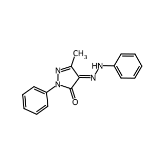 CC1=NN(c2ccccc2)C(=O)/C1=N/Nc1ccccc1